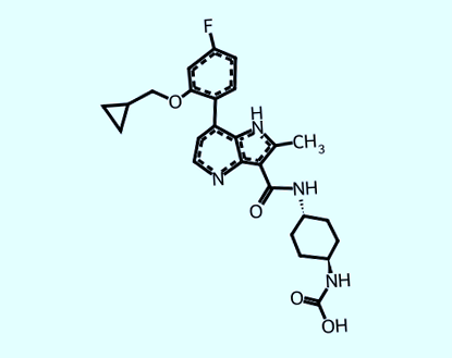 Cc1[nH]c2c(-c3ccc(F)cc3OCC3CC3)ccnc2c1C(=O)N[C@H]1CC[C@H](NC(=O)O)CC1